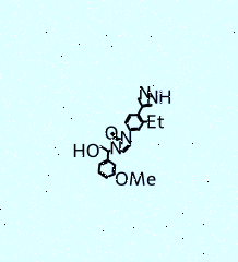 CCc1cc(-n2ccn(C(CO)c3cccc(OC)c3)c2=O)ccc1-c1cn[nH]c1